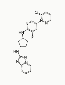 O=c1cccnn1-c1cnc(N[C@H]2CC[C@H](Nc3nc4ccccn4n3)C2)c(F)c1